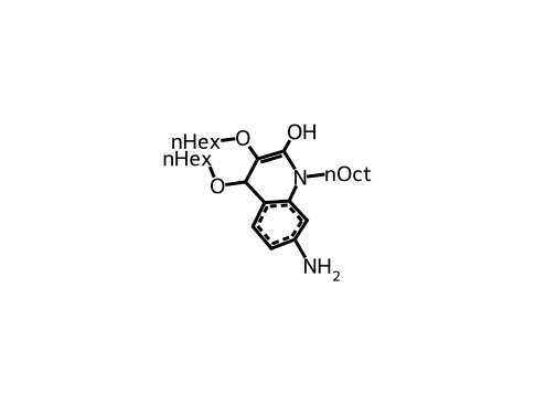 CCCCCCCCN1C(O)=C(OCCCCCC)C(OCCCCCC)c2ccc(N)cc21